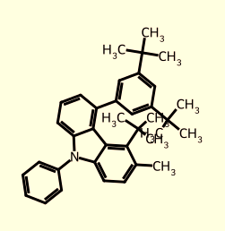 Cc1ccc2c(c1C(C)(C)C)c1c(-c3cc(C(C)(C)C)cc(C(C)(C)C)c3)cccc1n2-c1ccccc1